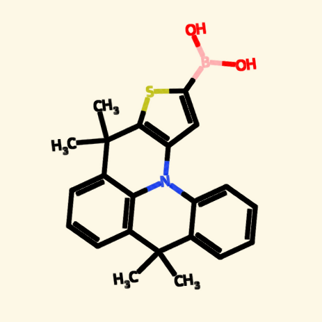 CC1(C)c2ccccc2N2c3cc(B(O)O)sc3C(C)(C)c3cccc1c32